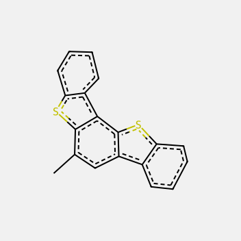 Cc1cc2c3ccccc3sc2c2c1sc1ccccc12